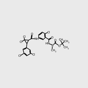 CN(NC(=O)c1cc(NC(=O)C2C(c3cc(Cl)cc(Cl)c3)C2(Cl)Cl)ccc1Cl)C(=O)OC(C)(C)C